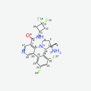 C[C@]1(N)CCN(c2c(C(=O)NC3CC(F)(F)C3)cncc2-c2cc(F)cc(F)c2)C1